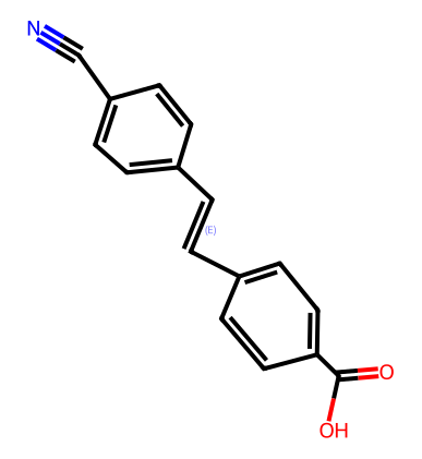 N#Cc1ccc(/C=C/c2ccc(C(=O)O)cc2)cc1